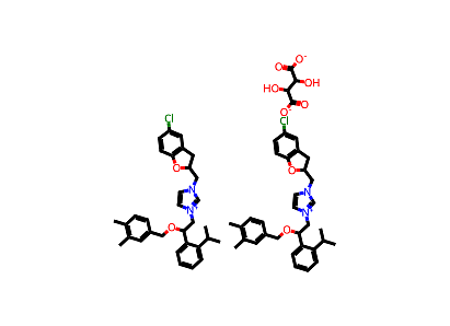 Cc1ccc(COC(C[n+]2ccn(CC3Cc4cc(Cl)ccc4O3)c2)c2ccccc2C(C)C)cc1C.Cc1ccc(COC(C[n+]2ccn(CC3Cc4cc(Cl)ccc4O3)c2)c2ccccc2C(C)C)cc1C.O=C([O-])C(O)C(O)C(=O)[O-]